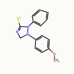 COc1ccc(N2CN=C(S)N2c2ccccc2)cc1